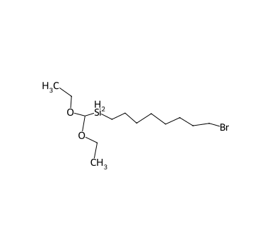 CCOC(OCC)[SiH2]CCCCCCCCBr